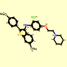 COc1ccc(-c2sc3cc(OC)ccc3c2Nc2ccc(OCCN3CCCCC3)cc2)cc1.Cl